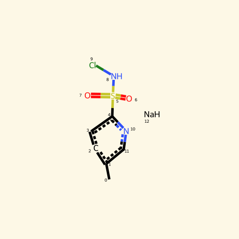 Cc1ccc(S(=O)(=O)NCl)nc1.[NaH]